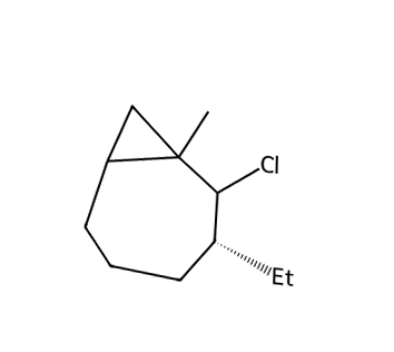 CC[C@@H]1CCCC2CC2(C)C1Cl